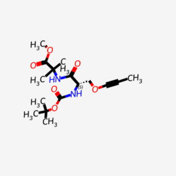 CC#COC[C@H](NC(=O)OC(C)(C)C)C(=O)NC(C)(C)C(=O)OC